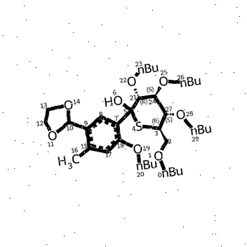 CCCCOC[C@H]1SC(O)(c2cc(C3OCCO3)c(C)cc2OCCCC)[C@H](OCCCC)[C@@H](OCCCC)[C@@H]1OCCCC